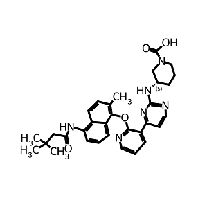 Cc1ccc2c(NC(=O)CC(C)(C)C)cccc2c1Oc1ncccc1-c1ccnc(N[C@H]2CCCN(C(=O)O)C2)n1